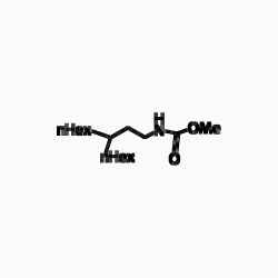 CCCCCCC(CCCCCC)CCNC(=O)OC